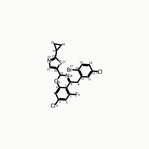 Fc1cc(Cl)cc2c1C(Cc1cc(Cl)ccc1Br)=NC(c1cnc(C3CC3)s1)O2